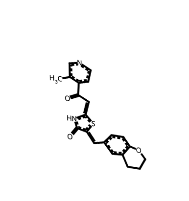 Cc1cnccc1C(=O)/C=c1\[nH]c(=O)/c(=C/c2ccc3c(c2)CCCO3)s1